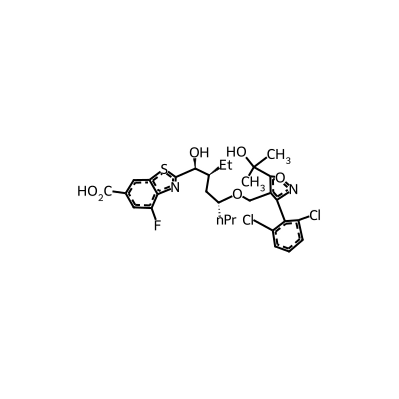 CCC[C@H](C[C@H](CC)[C@H](O)c1nc2c(F)cc(C(=O)O)cc2s1)OCc1c(-c2c(Cl)cccc2Cl)noc1C(C)(C)O